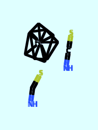 N=C=S.N=C=S.[CH]12[CH]3[CH]4[CH]5[CH]1[Fe]23451678[CH]2[CH]1[CH]6[CH]7[CH]28